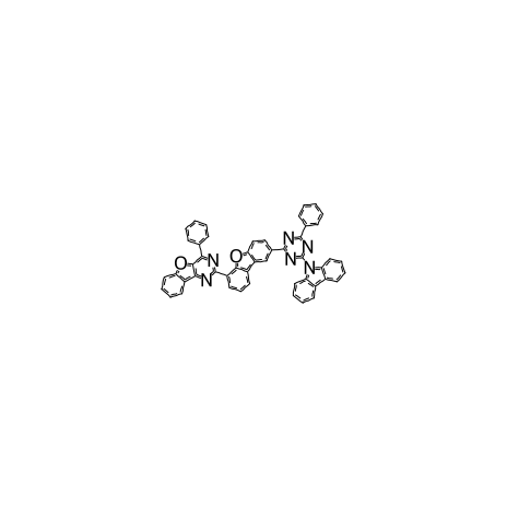 c1ccc(-c2nc(-c3ccc4oc5c(-c6nc(-c7ccccc7)c7oc8ccccc8c7n6)cccc5c4c3)nc(-n3c4ccccc4c4ccccc43)n2)cc1